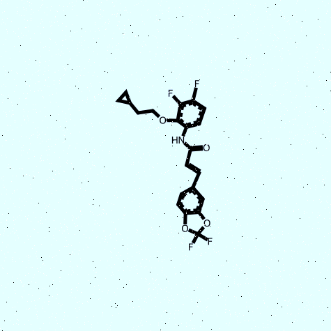 O=C(/C=C/c1ccc2c(c1)OC(F)(F)O2)Nc1ccc(F)c(F)c1OCCC1CC1